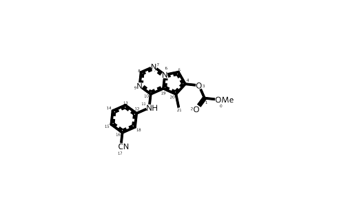 COC(=O)Oc1cn2ncnc(Nc3cccc(C#N)c3)c2c1C